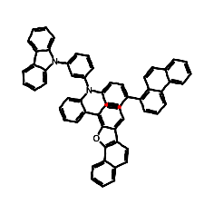 c1cc(N(c2ccc(-c3cccc4c3ccc3ccccc34)cc2)c2ccccc2-c2cccc3c2oc2c4ccccc4ccc32)cc(-n2c3ccccc3c3ccccc32)c1